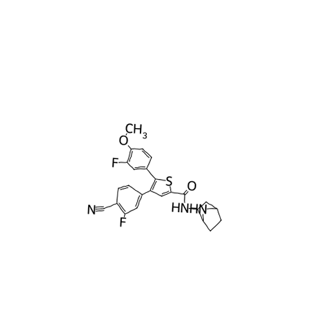 COc1ccc(-c2sc(C(=O)NC3CC4CCC3N4)cc2-c2ccc(C#N)c(F)c2)cc1F